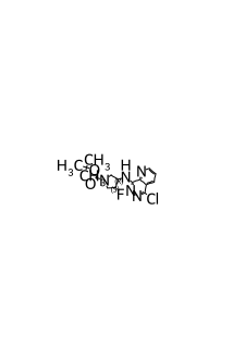 CC(C)(C)OC(=O)N1C[C@H](F)[C@H](Nc2nnc(Cl)c3cccnc23)C1